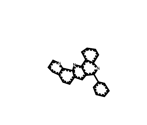 c1ccc(-c2nc3ccccc3c3nc4c(ccc5cccnc54)cc23)cc1